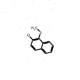 CSc1c([O])ccc2ccccc12